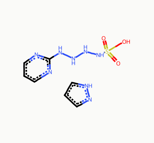 O=S(=O)(O)NNNNc1ncccn1.c1cn[nH]c1